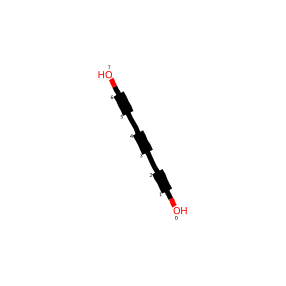 OC#CC#CC#CO